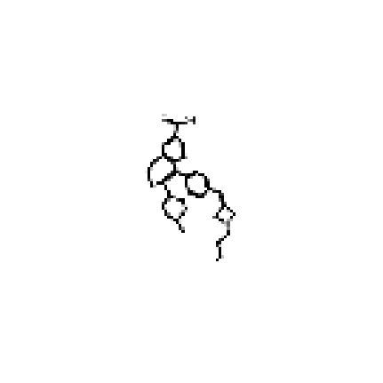 CC1CCC(C2=C(c3ccc(C=C4CN(CCCF)C4)cc3)c3ccc(C(=O)O)cc3CCC2)CC1